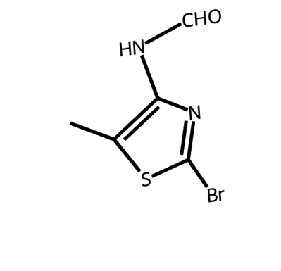 Cc1sc(Br)nc1NC=O